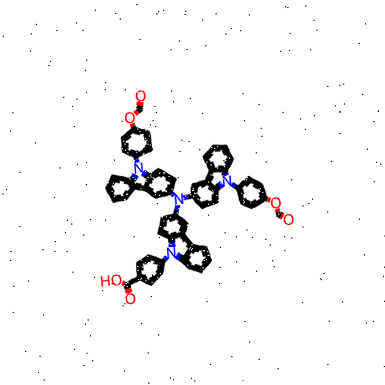 O=COc1ccc(-n2c3ccccc3c3cc(N(c4ccc5c(c4)c4ccccc4n5-c4ccc(OC=O)cc4)c4ccc5c(c4)c4ccccc4n5-c4ccc(C(=O)O)cc4)ccc32)cc1